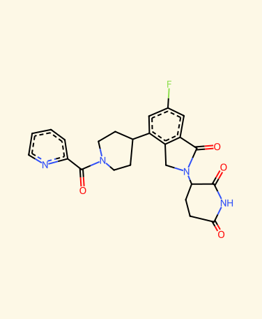 O=C1CCC(N2Cc3c(cc(F)cc3C3CCN(C(=O)c4ccccn4)CC3)C2=O)C(=O)N1